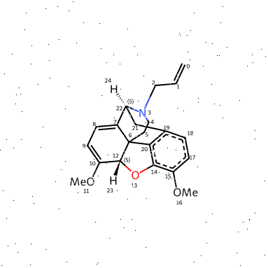 C=CCN1CCC23C4=CC=C(OC)[C@H]2Oc2c(OC)ccc(c23)C[C@@H]41